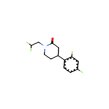 O=C1CC(c2ccc(F)cc2F)CCN1CC(F)F